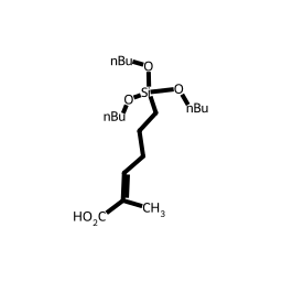 CCCCO[Si](CCCC=C(C)C(=O)O)(OCCCC)OCCCC